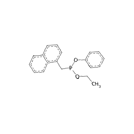 CCOP(Cc1cccc2ccccc12)Oc1ccccc1